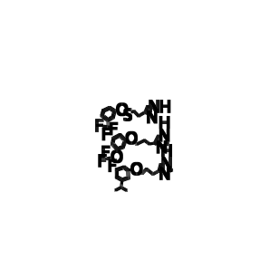 CC(C)c1cccc(OCCCc2c[nH]cn2)c1.FC(F)(F)Oc1cccc(OCCCc2c[nH]cn2)c1.FC(F)(F)c1cccc(OSCCc2c[nH]cn2)c1